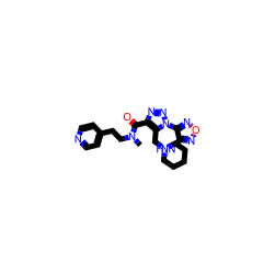 CN(CCc1ccncc1)C(=O)c1nnn(-c2nonc2N)c1CN1CCCCC1